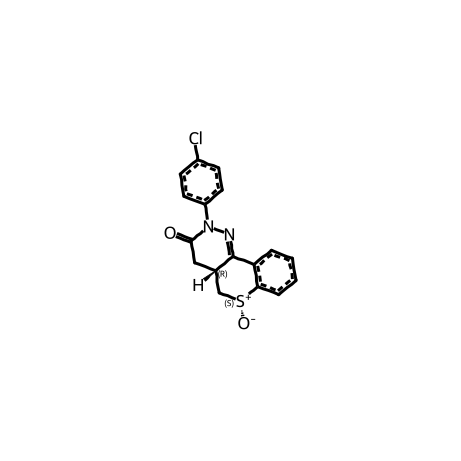 O=C1C[C@H]2C[S@@+]([O-])c3ccccc3C2=NN1c1ccc(Cl)cc1